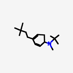 CN(C1C=CC(CCC(C)(C)C)=CC1)C(C)(C)C